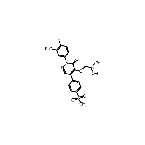 CC(C)[C@@H](O)COc1c(-c2ccc(S(C)(=O)=O)cc2)cnn(-c2ccc(F)c(C(F)(F)F)c2)c1=O